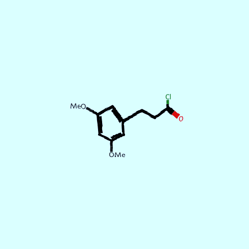 COc1cc(CCC(=O)Cl)cc(OC)c1